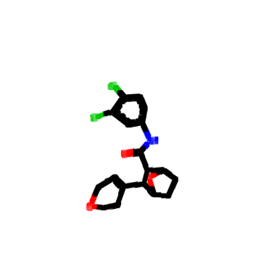 O=C(Nc1ccc(Cl)c(Cl)c1)C1C2CCC(O2)C1C1=CCOCC1